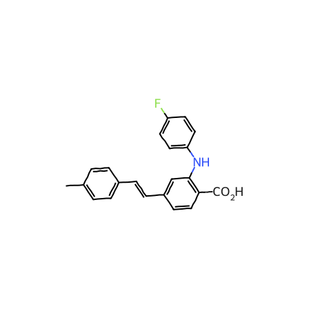 Cc1ccc(/C=C/c2ccc(C(=O)O)c(Nc3ccc(F)cc3)c2)cc1